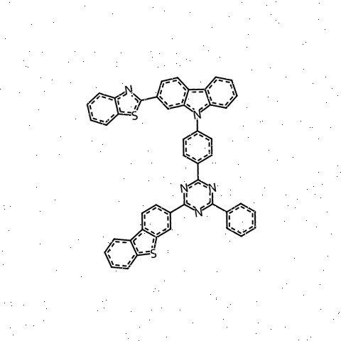 c1ccc(-c2nc(-c3ccc(-n4c5ccccc5c5ccc(-c6nc7ccccc7s6)cc54)cc3)nc(-c3ccc4c(c3)sc3ccccc34)n2)cc1